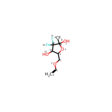 C=COCC1OC(O)(C(F)(F)F)C(F)(F)C1O